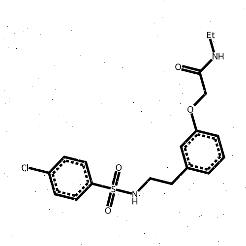 CCNC(=O)COc1cccc(CCNS(=O)(=O)c2ccc(Cl)cc2)c1